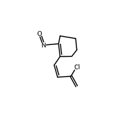 C=C(Cl)/C=C\C1=C(N=O)CCCC1